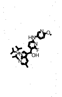 COc1ccc(Nc2ccc(C(O)c3cn([Si](C(C)C)(C(C)C)C(C)C)c4ncc(C)cc34)c(F)n2)cn1